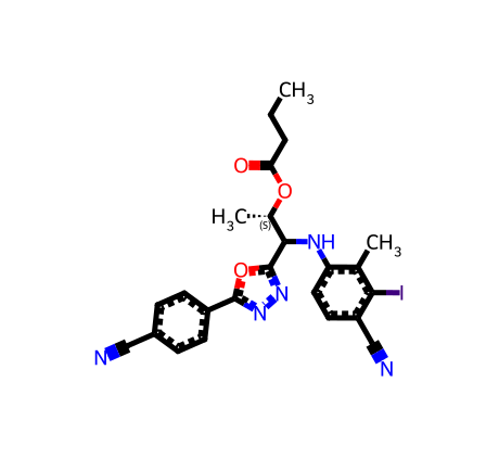 CCCC(=O)O[C@@H](C)C(Nc1ccc(C#N)c(I)c1C)c1nnc(-c2ccc(C#N)cc2)o1